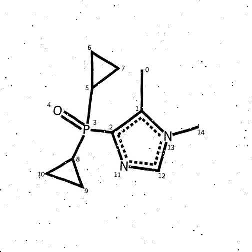 Cc1c(P(=O)(C2CC2)C2CC2)ncn1C